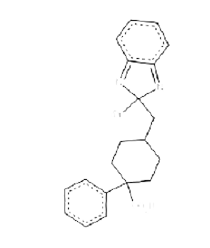 CC(C)C1(CC2CCC(C(=O)O)(c3ccccc3)CC2)N=c2ccccc2=N1